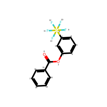 O=C(Oc1cccc(S(F)(F)(F)(F)F)c1)c1ccccc1